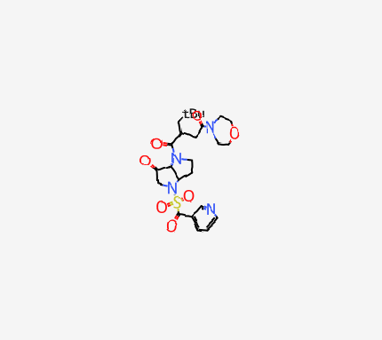 CC(C)(C)CC(CC(=O)N1CCOCC1)C(=O)N1CCC2C1C(=O)CN2S(=O)(=O)C(=O)c1cccnc1